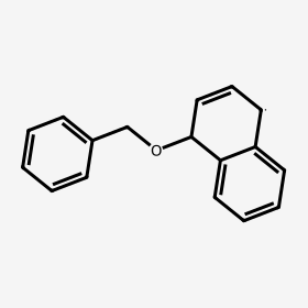 [CH]1C=CC(OCc2ccccc2)c2ccccc21